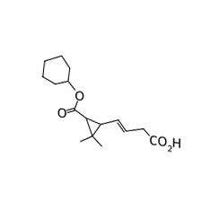 CC1(C)C(/C=C/CC(=O)O)C1C(=O)OC1CCCCC1